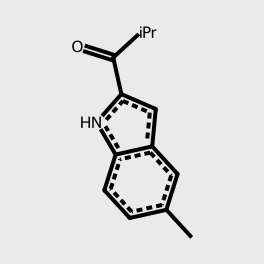 Cc1ccc2[nH]c(C(=O)C(C)C)cc2c1